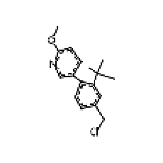 COc1ccc(-c2ccc(CCl)cc2C(C)(C)C)cn1